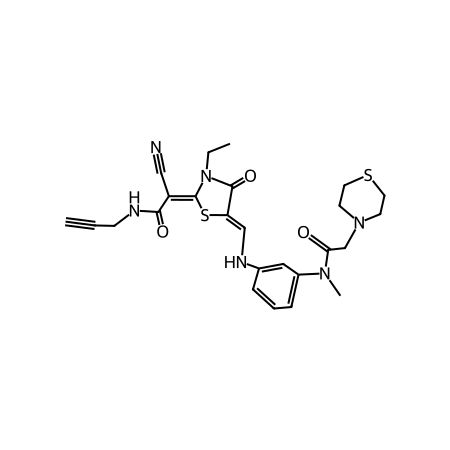 C#CCNC(=O)C(C#N)=c1sc(=CNc2cccc(N(C)C(=O)CN3CCSCC3)c2)c(=O)n1CC